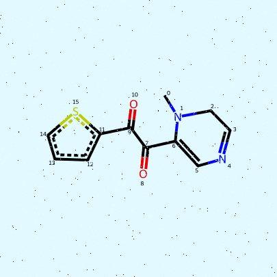 CN1CC=NC=C1C(=O)C(=O)c1cccs1